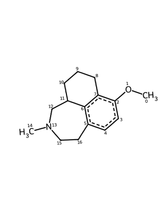 COc1ccc2c3c1CCCC3CN(C)CC2